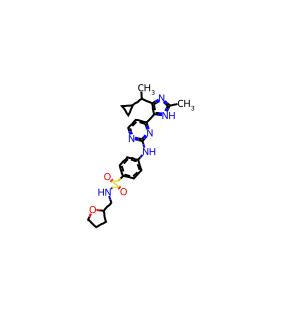 Cc1nc(C(C)C2CC2)c(-c2ccnc(Nc3ccc(S(=O)(=O)NCC4CCCO4)cc3)n2)[nH]1